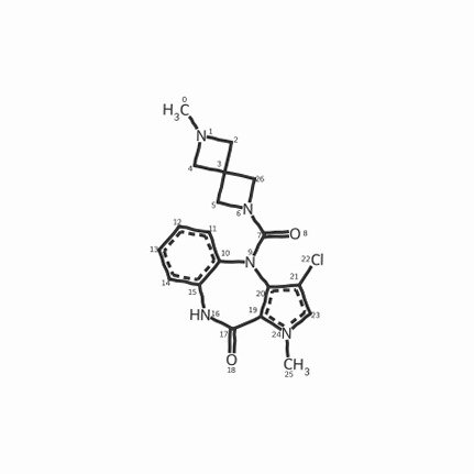 CN1CC2(C1)CN(C(=O)N1c3ccccc3NC(=O)c3c1c(Cl)cn3C)C2